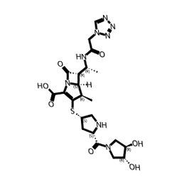 C[C@@H](NC(=O)Cn1cnnn1)[C@H]1C(=O)N2C(C(=O)O)=C(S[C@@H]3CN[C@H](C(=O)N4C[C@@H](O)[C@H](O)C4)C3)[C@H](C)[C@H]12